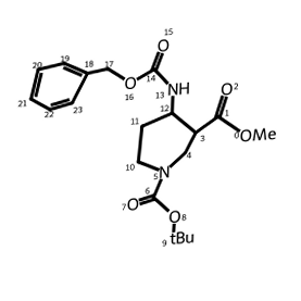 COC(=O)C1CN(C(=O)OC(C)(C)C)CCC1NC(=O)OCc1ccccc1